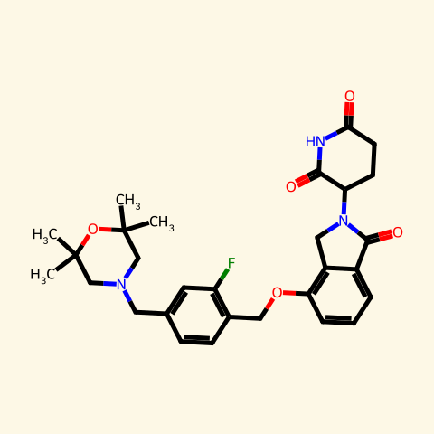 CC1(C)CN(Cc2ccc(COc3cccc4c3CN(C3CCC(=O)NC3=O)C4=O)c(F)c2)CC(C)(C)O1